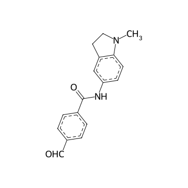 CN1CCc2cc(NC(=O)c3ccc(C=O)cc3)ccc21